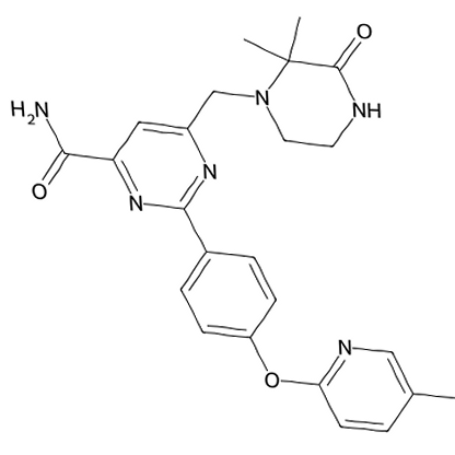 Cc1ccc(Oc2ccc(-c3nc(CN4CCNC(=O)C4(C)C)cc(C(N)=O)n3)cc2)nc1